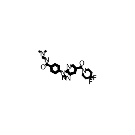 CN(C)C=NC(=O)c1ccc(-n2nnc3cc(C(=O)N4CCC(F)(F)CC4)cnc32)cc1